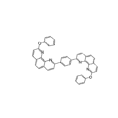 c1ccc(Oc2ccc3ccc4ccc(-c5ccc(-c6ccc7ccc8ccc(Oc9ccccc9)nc8c7n6)cc5)nc4c3n2)cc1